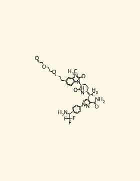 C/C(=C1\CCC(n2c(=O)n(C)c3cc(CCCOCCOCC=O)ccc32)C(=O)N1)c1cn(-c2ccc(C(N)C(F)(F)F)cc2)nc1C(N)=O